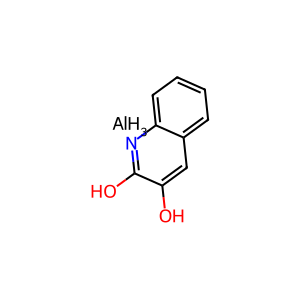 Oc1cc2ccccc2nc1O.[AlH3]